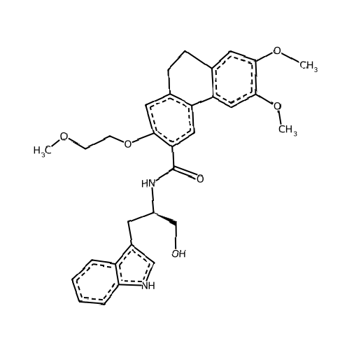 COCCOc1cc2c(cc1C(=O)N[C@@H](CO)Cc1c[nH]c3ccccc13)-c1cc(OC)c(OC)cc1CC2